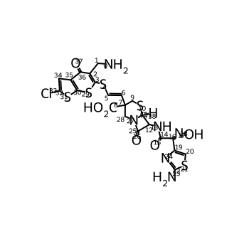 NCc1c(SC=CC2(C(=O)O)CS[C@@H]3C(NC(=O)C(=NO)c4csc(N)n4)C(=O)N3C2)sc2sc(Cl)cc2c1=O